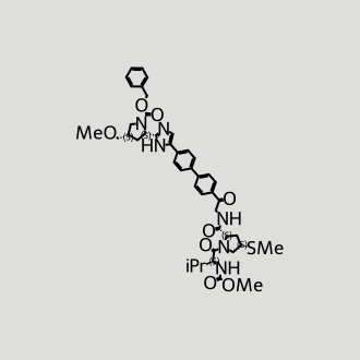 COC[C@H]1C[C@@H](c2ncc(-c3ccc(-c4ccc(C(=O)CNC(=O)[C@@H]5C[C@H](SC)CN5C(=O)[C@@H](NC(=O)OC)C(C)C)cc4)cc3)[nH]2)N(C(=O)OCc2ccccc2)C1